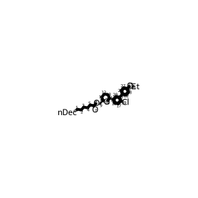 CCCCCCCCCCCCCCCC(=O)OC[C@H]1CCC[C@@H](c2ccc(Cl)c(-c3ccc(OCC)cc3)c2)O1